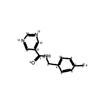 O=C(NCc1ccc(F)cc1)c1cncnc1